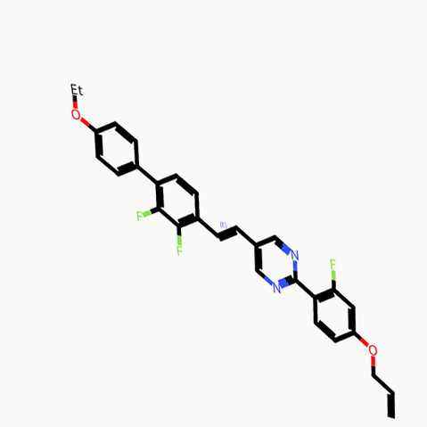 C=CCOc1ccc(-c2ncc(/C=C/c3ccc(-c4ccc(OCC)cc4)c(F)c3F)cn2)c(F)c1